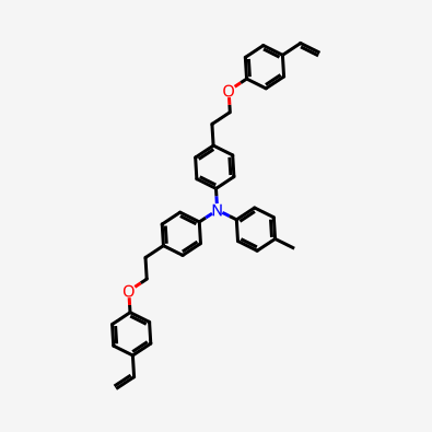 C=Cc1ccc(OCCc2ccc(N(c3ccc(C)cc3)c3ccc(CCOc4ccc(C=C)cc4)cc3)cc2)cc1